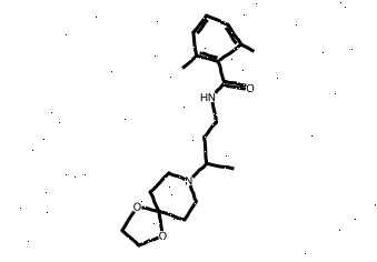 Cc1cccc(C)c1C(=O)NCCC(C)N1CCC2(CC1)OCCO2